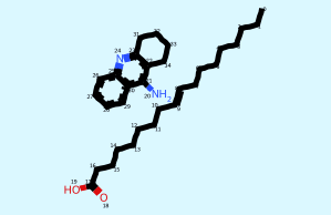 CCCCCCCCC=CCCCCCCCC(=O)O.Nc1c2c(nc3ccccc13)CCCC2